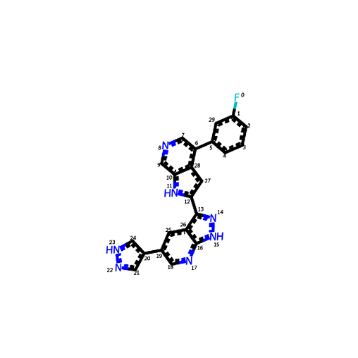 Fc1cccc(-c2cncc3[nH]c(-c4n[nH]c5ncc(-c6cn[nH]c6)cc45)cc23)c1